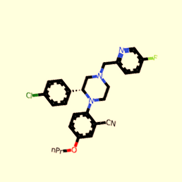 CCCOc1ccc(N2CCN(Cc3ccc(F)cn3)C[C@H]2c2ccc(Cl)cc2)c(C#N)c1